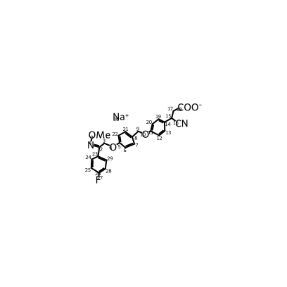 CO/N=C(\COc1ccc(COc2ccc(C(C#N)CC(=O)[O-])cc2)cc1)c1ccc(F)cc1.[Na+]